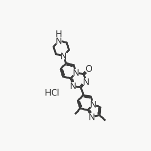 Cc1cn2cc(-c3nc(=O)n4cc(N5CCNCC5)ccc4n3)cc(C)c2n1.Cl